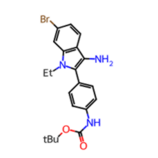 CCn1c(-c2ccc(NC(=O)OC(C)(C)C)cc2)c(N)c2ccc(Br)cc21